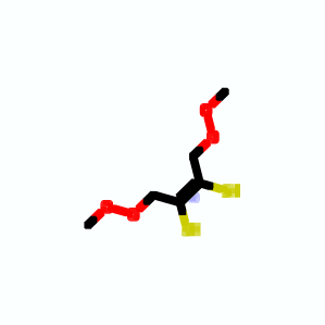 COOC/C(S)=C(/S)COOC